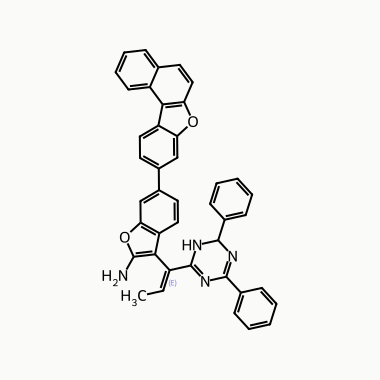 C/C=C(/C1=NC(c2ccccc2)=NC(c2ccccc2)N1)c1c(N)oc2cc(-c3ccc4c(c3)oc3ccc5ccccc5c34)ccc12